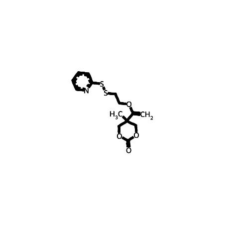 C=C(OCCSSc1ccccn1)C1(C)COC(=O)OC1